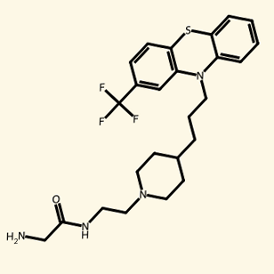 NCC(=O)NCCN1CCC(CCCN2c3ccccc3Sc3ccc(C(F)(F)F)cc32)CC1